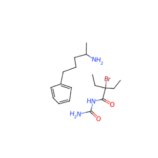 CC(N)CCCc1ccccc1.CCC(Br)(CC)C(=O)NC(N)=O